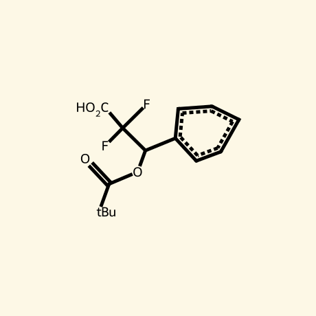 CC(C)(C)C(=O)OC(c1ccccc1)C(F)(F)C(=O)O